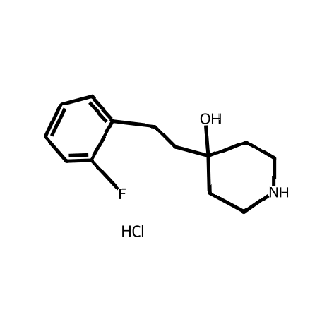 Cl.OC1(CCc2ccccc2F)CCNCC1